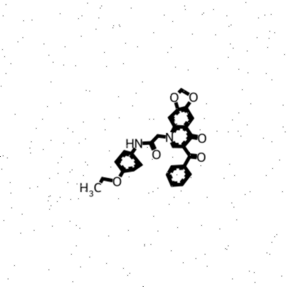 CCOc1ccc(NC(=O)Cn2cc(C(=O)c3ccccc3)c(=O)c3cc4c(cc32)OCO4)cc1